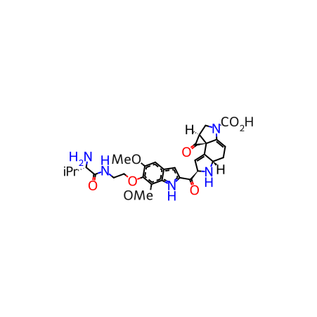 COc1cc2cc(C(=O)[C@H]3C=C4[C@H](CC=C5N(C(=O)O)C[C@@H]6C(=O)[C@]456)N3)[nH]c2c(OC)c1OCCNC(=O)[C@@H](N)C(C)C